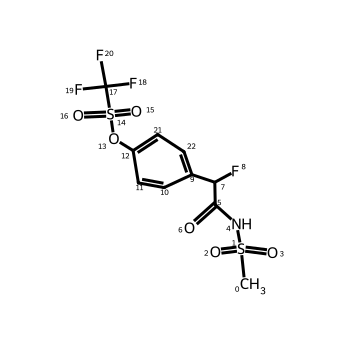 CS(=O)(=O)NC(=O)C(F)c1ccc(OS(=O)(=O)C(F)(F)F)cc1